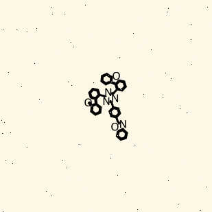 c1ccc2oc(-c3ccc(-c4nc(-c5cccc6oc7ccccc7c56)nc(-c5cccc6oc7ccccc7c56)n4)cc3)nc2c1